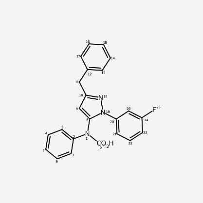 O=C(O)N(c1ccccc1)c1cc(Cc2ccccc2)nn1-c1cccc(F)c1